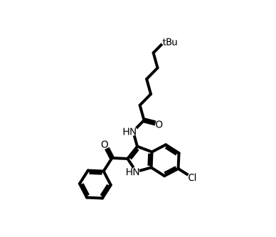 CC(C)(C)CCCCCC(=O)Nc1c(C(=O)c2ccccc2)[nH]c2cc(Cl)ccc12